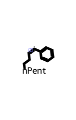 CCCCCCC/C=[C]\c1ccccc1